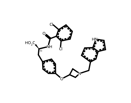 O=C(N[C@@H](Cc1ccc(OC2CN(Cc3ccc4[nH]ccc4c3)C2)cc1)C(=O)O)c1c(Cl)cccc1Cl